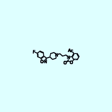 CC(=O)c1cccc2oc(=O)n(CCCN3CCC(c4noc5cc(F)ccc45)CC3)c12